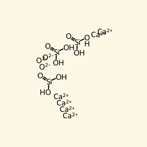 O=[Si](O)O.O=[Si](O)O.O=[Si](O)O.[Ca+2].[Ca+2].[Ca+2].[Ca+2].[Ca+2].[Ca+2].[O-2].[O-2].[O-2]